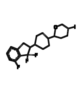 Fc1cccc2c1C(F)(F)C(C1CCC(C3CCC(I)CO3)CC1)C2